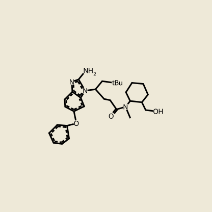 CN(C(=O)CCC(CC(C)(C)C)n1c(N)nc2ccc(Oc3ccccc3)cc21)C1CCCCC1CO